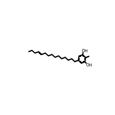 CCCC=CCCCCCCCCCCc1cc(O)c(C)c(O)c1